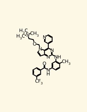 Cc1ccc(NC(=O)c2cccc(C(F)(F)F)c2)cc1Nc1nc(-c2cccnc2)c2c(ccn2COCC[Si](C)(C)C)n1